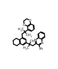 CC(C)c1nc2ccccc2nc1CC(C)(C)c1cc2c(c(CC(C)(C)c3cccc4c3OCCO4)c1)CCCC2